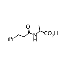 CC(C)CCC(=O)N[C@@H](C)C(=O)O